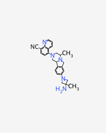 CC1CN(c2ccc(C#N)c3ncccc23)CC2c3ccc(N4CC(C)(N)C4)cc3CN12